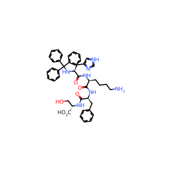 NCCCC[C@H](NC(=O)[C@H](Cc1c[nH]cn1)NC(c1ccccc1)(c1ccccc1)c1ccccc1)C(=O)N[C@@H](Cc1ccccc1)C(=O)N[C@@H](CO)C(=O)O